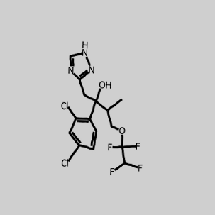 CC(COC(F)(F)C(F)F)C(O)(Cc1nc[nH]n1)c1ccc(Cl)cc1Cl